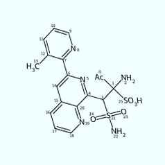 CC(=O)C(N)(C(c1nc(-c2ncccc2C)cc2cccnc12)S(N)(=O)=O)S(=O)(=O)O